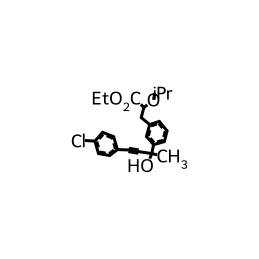 CCOC(=O)C(Cc1cccc(C(C)(O)C#Cc2ccc(Cl)cc2)c1)OC(C)C